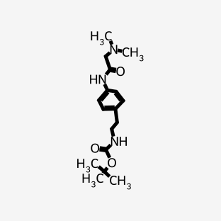 CN(C)CC(=O)Nc1ccc(CCNC(=O)OC(C)(C)C)cc1